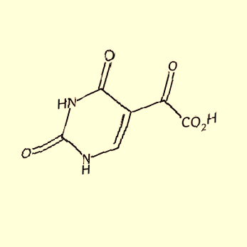 O=C(O)C(=O)c1c[nH]c(=O)[nH]c1=O